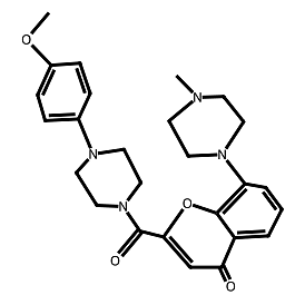 COc1ccc(N2CCN(C(=O)c3cc(=O)c4cccc(N5CCN(C)CC5)c4o3)CC2)cc1